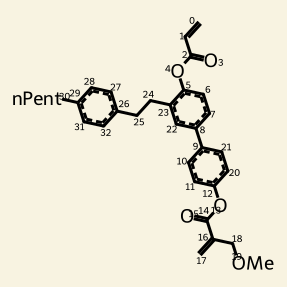 C=CC(=O)Oc1ccc(-c2ccc(OC(=O)C(=C)COC)cc2)cc1CCc1ccc(CCCCC)cc1